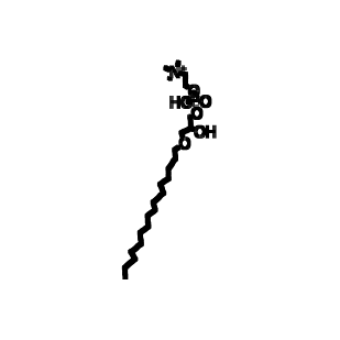 CCCCCCCCCCCCCCCCOCC(O)COP(=O)(O)OCC[N+](C)(C)C